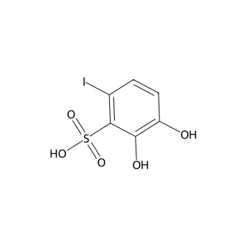 O=S(=O)(O)c1c(I)ccc(O)c1O